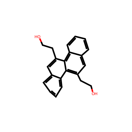 OCCc1cc2ccccc2c2c(CCO)cc3ccccc3c12